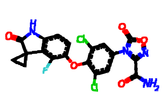 NC(=O)c1noc(=O)n1-c1cc(Cl)c(Oc2ccc3c(c2F)C2(CC2)C(=O)N3)c(Cl)c1